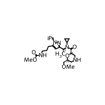 COC[C@@H]1CNC[C@H](C(=O)N(C2CC2)[C@H](C)c2cc(CCCNC(=O)OC)n(C(C)C)n2)O1